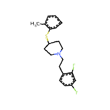 Cc1ccccc1SC1CCN(CCc2ccc(F)cc2F)CC1